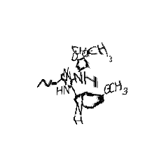 COc1ccc2[nH]cc(-c3[nH]c4c(C#N)cnn4c3Nc3ccc(OC)c(OC)c3)c2c1